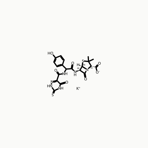 CC1(C)S[C@@H]2[C@H](NC(=O)C(NC(=O)c3n[nH]c(=S)[nH]c3=O)c3ccc(O)cc3)C(=O)N2[C@H]1C(=O)[O-].[K+]